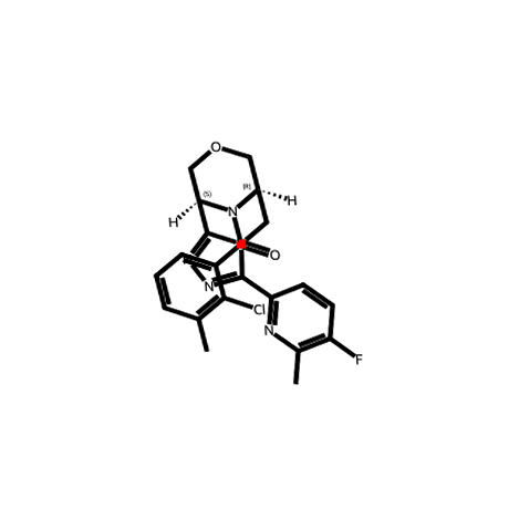 Cc1cccc(C(=O)N2[C@H]3COC[C@@H]2c2nnc(-c4ccc(F)c(C)n4)n2C3)c1Cl